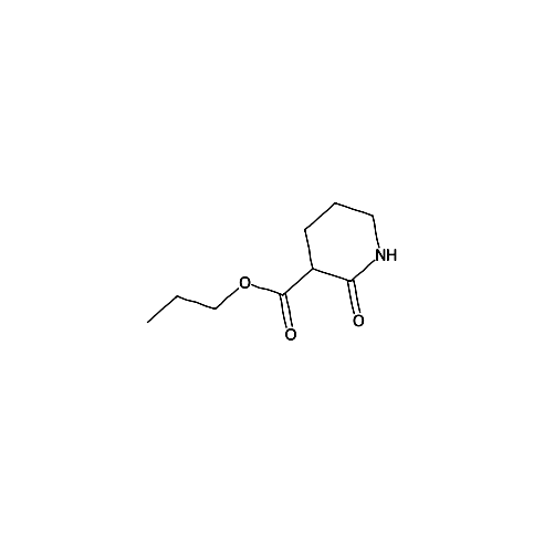 CCCOC(=O)C1CCCNC1=O